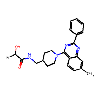 Cc1ccc2c(N3CCC(CNC(=O)C(O)C(C)C)CC3)nc(-c3ccccc3)nc2c1